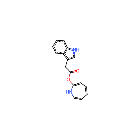 O=C(Cc1c[nH]c2ccccc12)OC1=CC=CC=CN1